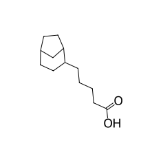 O=C(O)CCCCC1CCC2CCC1C2